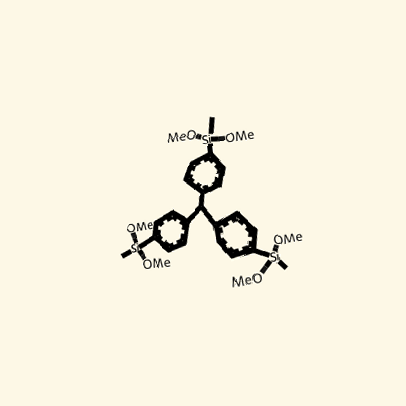 CO[Si](C)(OC)c1ccc(C(c2ccc([Si](C)(OC)OC)cc2)c2ccc([Si](C)(OC)OC)cc2)cc1